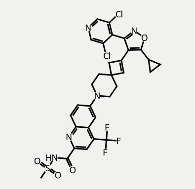 CS(=O)(=O)NC(=O)c1cc(C(F)(F)F)c2cc(N3CCC4(C=C(c5c(-c6c(Cl)cncc6Cl)noc5C5CC5)C4)CC3)ccc2n1